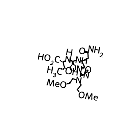 COCCN(CCOC)c1noc([C@H](CC(N)=O)NC(=O)N[C@H](C(=O)O)C(C)O)n1